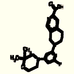 CC1(C)CN(c2cc(F)nc(N3CCc4cc(C(=O)O)ncc4C3)c2)CCO1